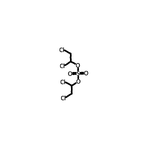 O=S(=O)(OC(Cl)CCl)OC(Cl)CCl